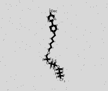 CCCCCCCCCCc1cnc(-c2ccc(CCCCCCOCC(F)(F)OC(F)(F)C(F)(F)OC(F)(F)C(F)(F)C(F)(F)C(F)(F)F)cc2)nc1